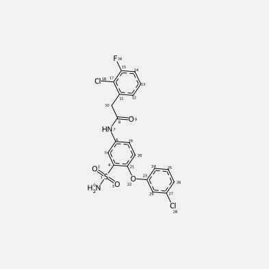 NS(=O)(=O)c1cc(NC(=O)Cc2cccc(F)c2Cl)ccc1Oc1cccc(Cl)c1